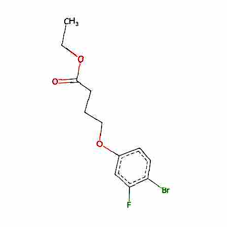 CCOC(=O)CCCOc1ccc(Br)c(F)c1